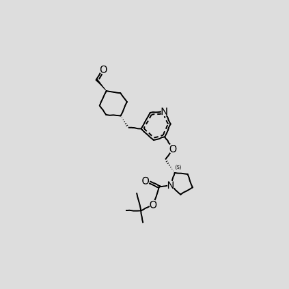 CC(C)(C)OC(=O)N1CCC[C@H]1COc1cncc(C[C@H]2CC[C@H](C=O)CC2)c1